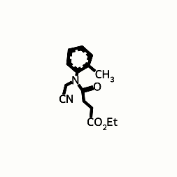 CCOC(=O)CCC(=O)N(CC#N)c1ccccc1C